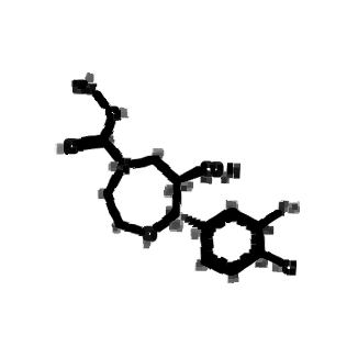 CC(C)(C)OC(=O)N1CCO[C@@H](c2ccc(Cl)c(F)c2)[C@H](C(=O)O)C1